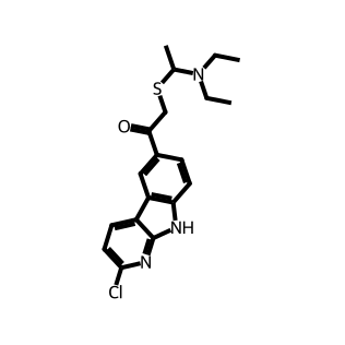 CCN(CC)C(C)SCC(=O)c1ccc2[nH]c3nc(Cl)ccc3c2c1